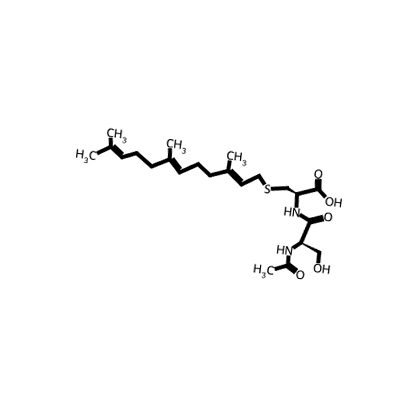 CC(=O)N[C@H](CO)C(=O)N[C@@H](CSC/C=C(\C)CC/C=C(\C)CCC=C(C)C)C(=O)O